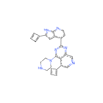 C1=CC(c2cc3c(-c4nc(N5CCNCC5)c5c(C6=CC=C6)cncc5n4)ccnc3[nH]2)=C1